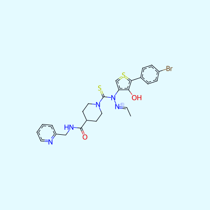 C/C=N/N(C(=S)N1CCC(C(=O)NCc2ccccn2)CC1)c1csc(-c2ccc(Br)cc2)c1O